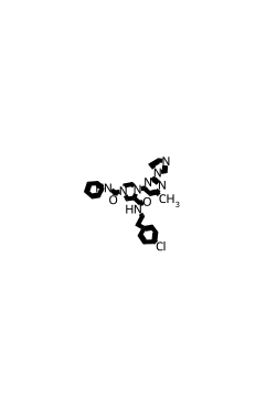 Cc1cc(N2CCN(C(=O)Nc3ccccc3)CC2C(=O)NCCc2ccc(Cl)cc2)nc(-n2ccnc2)n1